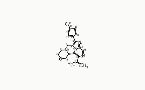 C=C(C)c1cn2c(CN3CCOCC3)c(-c3ccc(Cl)cc3)nc2cn1